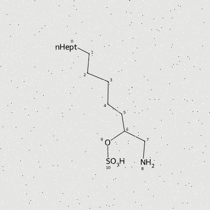 CCCCCCCCCCCCC(CN)OS(=O)(=O)O